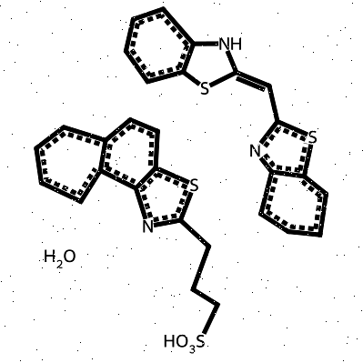 C(=C1Nc2ccccc2S1)c1nc2ccccc2s1.O.O=S(=O)(O)CCCc1nc2c(ccc3ccccc32)s1